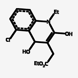 CCOC(=O)CC1=C(O)N(CC)c2cccc(Cl)c2C1O